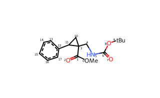 COC(=O)C1(CNC(=O)OC(C)(C)C)CC1c1ccccc1